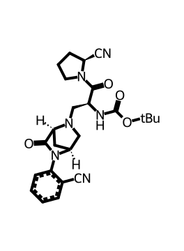 CC(C)(C)OC(=O)N[C@@H](CN1C[C@@H]2C[C@H]1C(=O)N2c1ccccc1C#N)C(=O)N1CCC[C@H]1C#N